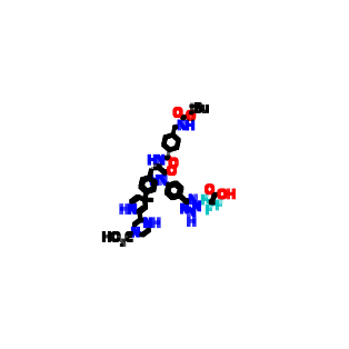 CC(C)(C)OC(=O)NC[C@H]1CC[C@H](C(=O)N[C@@H](Cc2ccc(C3(C)C=CNC(C4CN(C(=O)O)CCN4)=C3)cc2)C(=O)Nc2ccc(-c3nn[nH]n3)cc2)CC1.O=C(O)C(F)(F)F